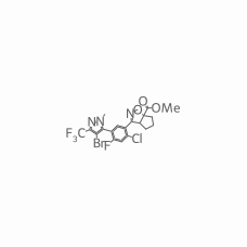 COC(=O)C12CCCC1C(c1cc(-c3c(Br)c(C(F)(F)F)nn3C)c(F)cc1Cl)=NO2